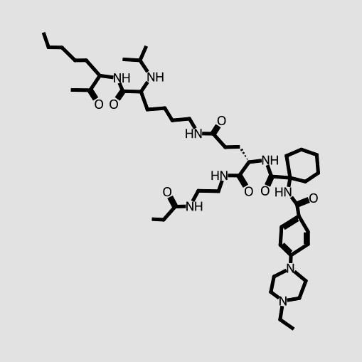 CCCCCC(NC(=O)C(CCCCNC(=O)CC[C@H](NC(=O)C1(NC(=O)c2ccc(N3CCN(CC)CC3)cc2)CCCCC1)C(=O)NCCNC(=O)CC)NC(C)C)C(C)=O